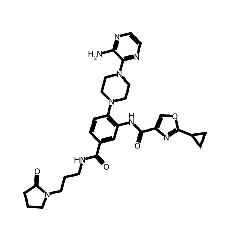 Nc1nccnc1N1CCN(c2ccc(C(=O)NCCCN3CCCC3=O)cc2NC(=O)c2coc(C3CC3)n2)CC1